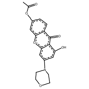 CC(=O)Oc1ccc2c(=O)c3c(O)cc(N4CCOCC4)cc3oc2c1